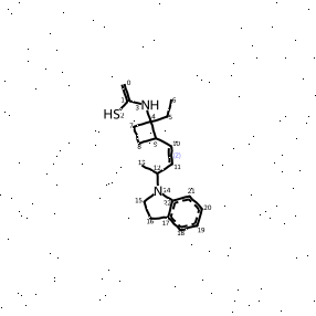 C=C(S)NC1(CC)CCC1/C=C\C(C)N1CCc2ccccc21